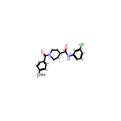 COc1ccc(C(=O)N2CCC(C(=O)Nc3cccc(Br)c3)CC2)cc1